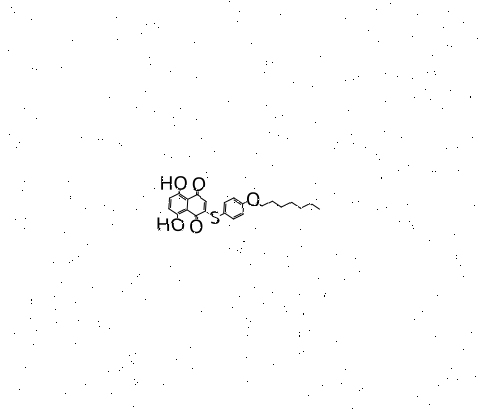 CCCCCCCOc1ccc(SC2=CC(=O)c3c(O)ccc(O)c3C2=O)cc1